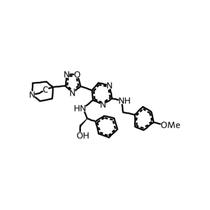 COc1ccc(CNc2ncc(-c3nc(C45CCN(CC4)CC5)no3)c(N[C@H](CO)c3ccccc3)n2)cc1